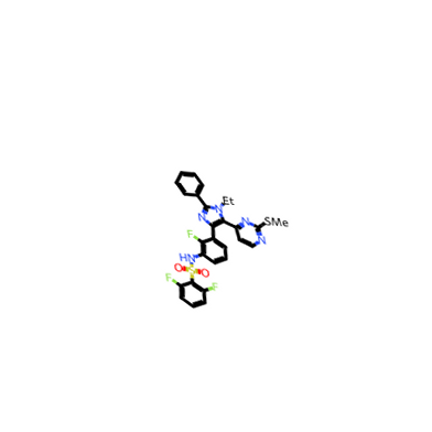 CCn1c(-c2ccccc2)nc(-c2cccc(NS(=O)(=O)c3c(F)cccc3F)c2F)c1-c1ccnc(SC)n1